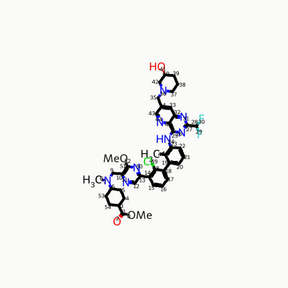 COC(=O)C1CCC(N(C)Cc2ncc(-c3cccc(-c4cccc(Nc5nc(C(F)F)nc6cc(CN7CCC[C@H](O)C7)cnc56)c4C)c3Cl)nc2OC)CC1